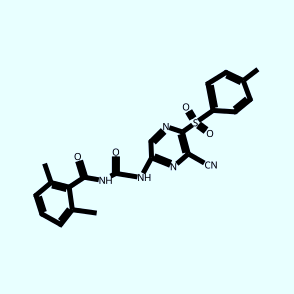 Cc1ccc(S(=O)(=O)c2ncc(NC(=O)NC(=O)c3c(C)cccc3C)nc2C#N)cc1